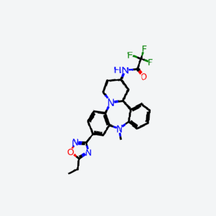 CCc1nc(-c2ccc3c(c2)N(C)c2ccccc2C2CC(NC(=O)C(F)(F)F)CCN32)no1